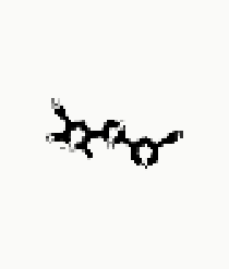 Cc1[nH]c(=O)c(C#N)cc1-c1csc(-c2cncc(C#N)c2)n1